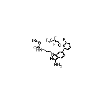 CC(C)(C)OC(=O)NCCCn1nc(N)c2ccc(-c3cccc(F)c3OCC(F)(F)C(F)(F)F)cc21